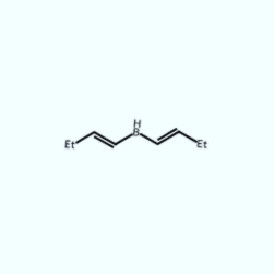 CCC=CBC=CCC